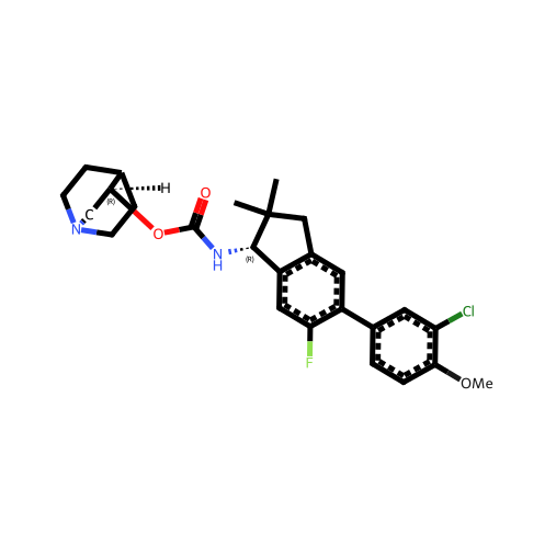 COc1ccc(-c2cc3c(cc2F)[C@H](NC(=O)O[C@H]2CN4CCC2CC4)C(C)(C)C3)cc1Cl